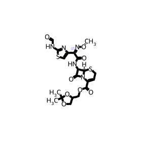 CO/N=C(\C(=O)NC1C(=O)N2C(C(=O)OCC3COC(C)(C)O3)=CCS[C@H]12)c1csc(NC=O)n1